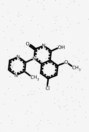 COc1cc(Cl)cc2c1c(O)nc(=O)n2-c1nccnc1C